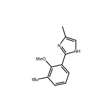 COc1c(-c2nc(C)c[nH]2)cccc1C(C)(C)C